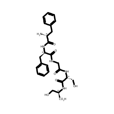 N[C@H](Cc1ccccc1)C(=O)N[C@H](Cc1ccccc1)C(=O)NCC(=O)N[C@H](CO)C(=O)N[C@H](CO)C(=O)O